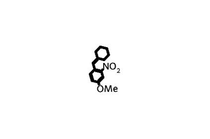 COc1ccc(C=C2CCCCC2)c([N+](=O)[O-])c1